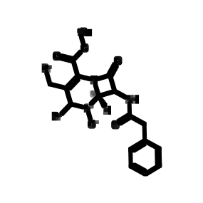 CC(C)(C)OC(=O)C1=C(CBr)C(Br)[S+]([O-])[C@H]2C(NC(=O)Cc3ccccc3)C(=O)N12